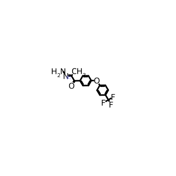 C/C(=N\N)C(=O)c1ccc(Oc2ccc(C(F)(F)F)cc2)cc1